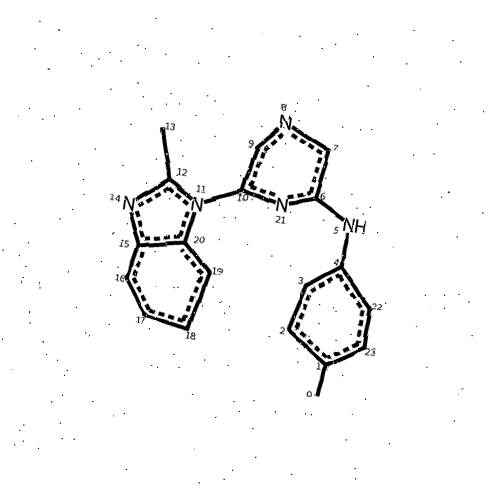 Cc1ccc(Nc2cncc(-n3c(C)nc4ccccc43)n2)cc1